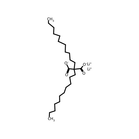 CCCCCCCCCCCC(CCCCCCCCCCC)(C(=O)[O-])C(=O)[O-].[Li+].[Li+]